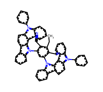 CCc1c(C#N)c(-n2c3ccccc3c3ccc4c(c5ccccc5n4-c4ccccc4)c32)cc(-n2c3ccccc3c3ccc4c(c5ccccc5n4-c4ccccc4)c32)c1C#N